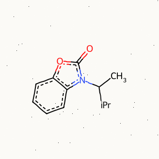 CC(C)C(C)n1c(=O)oc2ccccc21